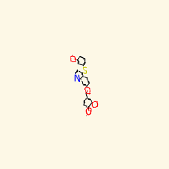 COc1cccc(Sc2ccnc3cc(OCc4ccc(OC)c(OC)c4)ccc23)c1